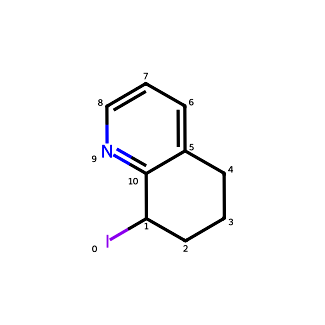 IC1CCCc2cccnc21